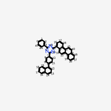 c1ccc(-c2nc(-c3ccc(-c4cccc5ccccc45)cc3)nc(-c3cccc4c3ccc3c5ccccc5ccc43)n2)cc1